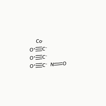 [C-]#[O+].[C-]#[O+].[C-]#[O+].[Co].[N-]=O